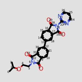 CC(C)OCCN1C(=O)c2ccc(-c3ccc4c(c3)C(=O)N(c3ncccn3)C4=O)cc2C1=O